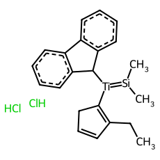 CCC1=[C]([Ti]([CH]2c3ccccc3-c3ccccc32)=[Si](C)C)CC=C1.Cl.Cl